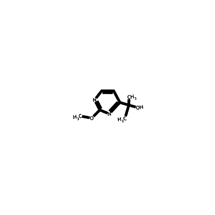 COc1nccc(C(C)(C)O)n1